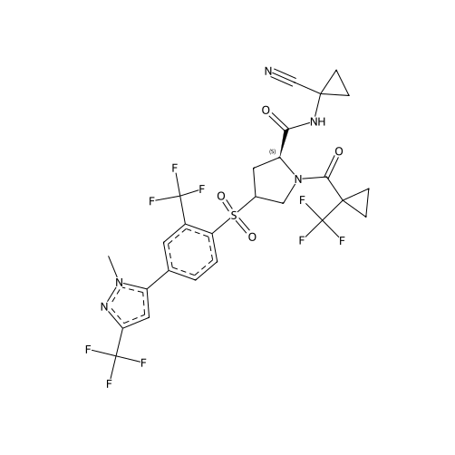 Cn1nc(C(F)(F)F)cc1-c1ccc(S(=O)(=O)C2C[C@@H](C(=O)NC3(C#N)CC3)N(C(=O)C3(C(F)(F)F)CC3)C2)c(C(F)(F)F)c1